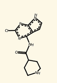 O=C(Nc1nc(Cl)nc2[nH]ccc12)C1CCNCC1